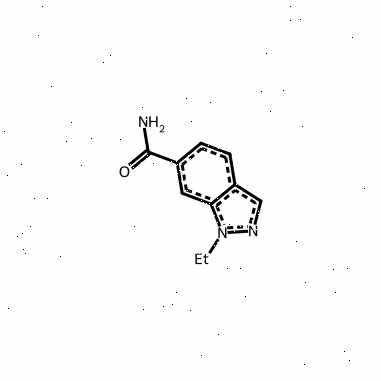 CCn1ncc2ccc(C(N)=O)cc21